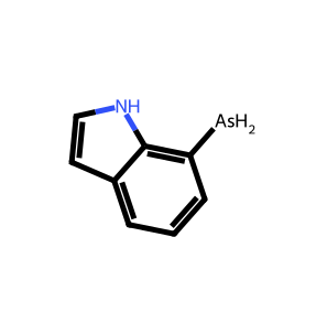 [AsH2]c1cccc2cc[nH]c12